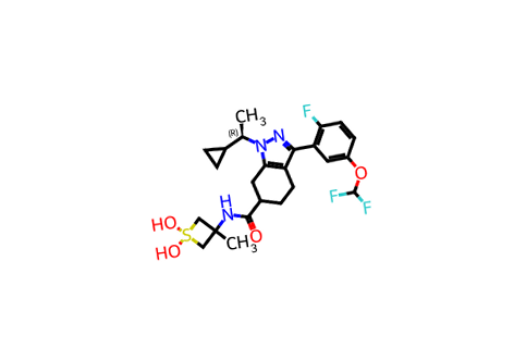 C[C@H](C1CC1)n1nc(-c2cc(OC(F)F)ccc2F)c2c1CC(C(=O)NC1(C)CS(O)(O)C1)CC2